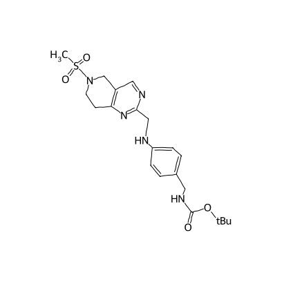 CC(C)(C)OC(=O)NCc1ccc(NCc2ncc3c(n2)CCN(S(C)(=O)=O)C3)cc1